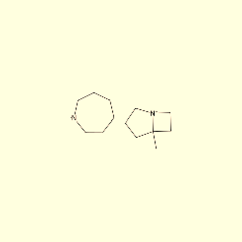 C1CCC[N]CC1.CC12CCC[N+]1CC2